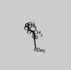 CCCCCCCCCCCCCCCCCCC(=O)OCC=C(C)C=CC=C(C)C=CC1=C(C)CCCC1(C)C